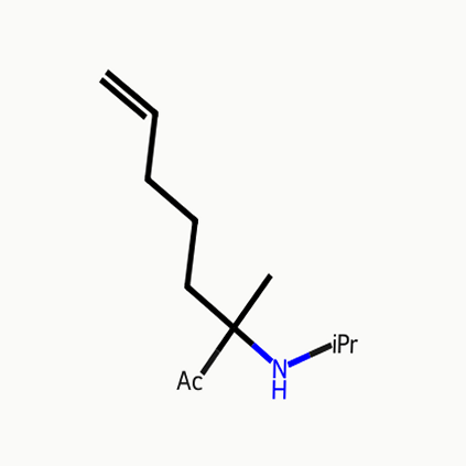 C=CCCCC(C)(NC(C)C)C(C)=O